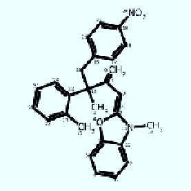 C=C(/C=C1\Oc2ccccc2N1C)C(C)(Cc1ccc([N+](=O)[O-])cc1)c1ccccc1C